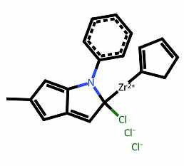 CC1=CC2=C[C](Cl)([Zr+2][C]3=CC=CC3)N(c3ccccc3)C2=C1.[Cl-].[Cl-]